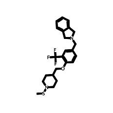 CSN1CCC(COc2ccc(CN3Cc4ccccc4C3)cc2C(F)(F)F)CC1